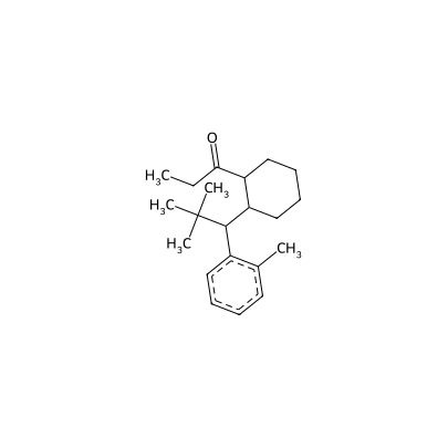 CCC(=O)C1CCCCC1C(c1ccccc1C)C(C)(C)C